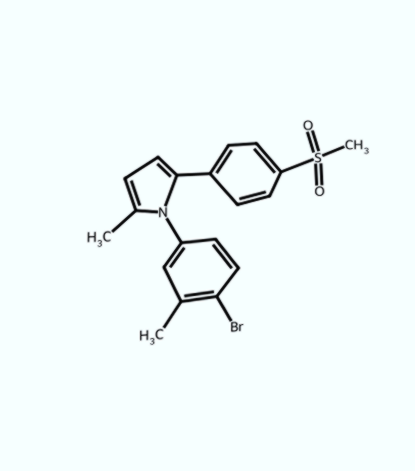 Cc1cc(-n2c(C)ccc2-c2ccc(S(C)(=O)=O)cc2)ccc1Br